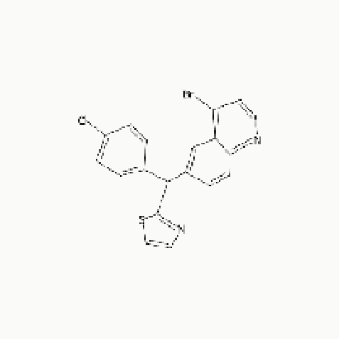 Clc1ccc(C(c2ccc3nccc(Br)c3c2)c2nccs2)cc1